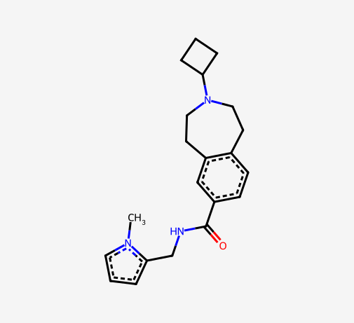 Cn1cccc1CNC(=O)c1ccc2c(c1)CCN(C1CCC1)CC2